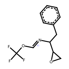 FC(F)(F)O/C=N/C(Cc1ccccc1)C1CO1